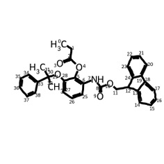 CCC(=O)Oc1c(NC(=O)OCC2c3ccccc3-c3ccccc32)cccc1OC(C)(C)c1ccccc1